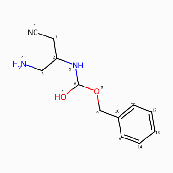 N#CCC(CN)NC(O)OCc1ccccc1